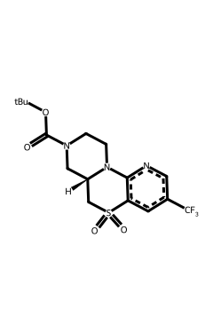 CC(C)(C)OC(=O)N1CCN2c3ncc(C(F)(F)F)cc3S(=O)(=O)C[C@@H]2C1